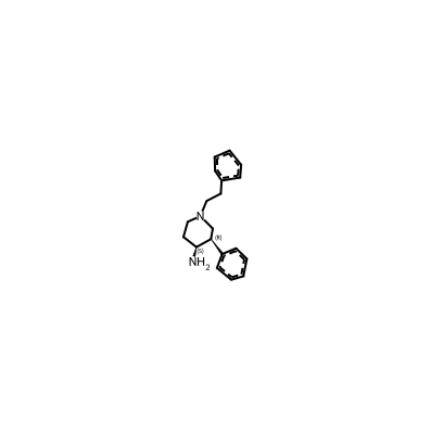 N[C@H]1CCN(CCc2ccccc2)C[C@H]1c1ccccc1